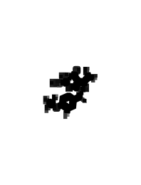 C[C@H](c1ccc(OC(F)(F)F)c(F)c1)n1nc(C(F)F)c2c(=O)[nH]c(O)nc21